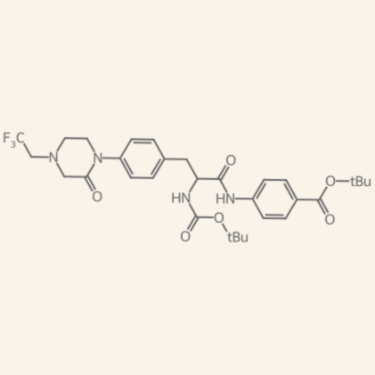 CC(C)(C)OC(=O)NC(Cc1ccc(N2CCN(CC(F)(F)F)CC2=O)cc1)C(=O)Nc1ccc(C(=O)OC(C)(C)C)cc1